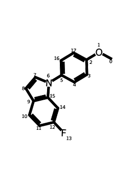 COc1ccc(-n2ccc3ccc(F)cc32)cc1